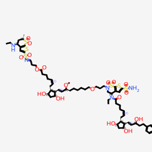 CCN[C@H]1C[C@H](C)S(=O)(=O)c2sc(S(=O)(=O)/N=C/CCOC(=O)CCC/C=C\C[C@@H]3[C@@H](/C=C/[C@H](CCCCCCOCCCN4C[C@H](N(CC)C(=O)CCC/C=C\C[C@@H]5[C@@H](/C=C/[C@@H](O)CCc6ccccc6)[C@H](O)C[C@@H]5O)c5cc(S(N)(=O)=O)sc5S4(=O)=O)OC)[C@H](O)C[C@@H]3O)cc21